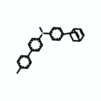 Cc1ccc(-c2ccc(N(C)c3ccc(C4=CC5C=CC4CC5)cc3)cc2)cc1